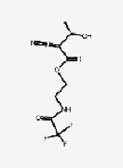 C[C@@H](O)C(=[N+]=[N-])C(=O)OCCNC(=O)C(F)(F)F